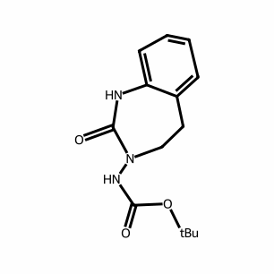 CC(C)(C)OC(=O)NN1CCc2ccccc2NC1=O